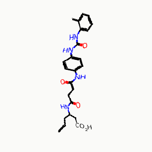 C=CCC(CC(=O)O)NC(=O)CCC(=O)Nc1ccc(NC(=O)Nc2ccccc2C)cc1